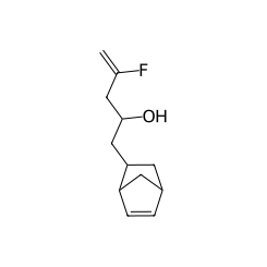 C=C(F)CC(O)CC1CC2C=CC1C2